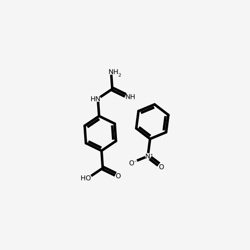 N=C(N)Nc1ccc(C(=O)O)cc1.O=[N+]([O-])c1ccccc1